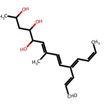 C\C=C/C=C(\C=C\C=O)/C=C/C(C)=C/C(O)C(O)CC(C)O